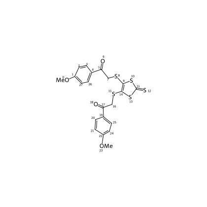 COc1ccc(C(=O)CSc2sc(=S)sc2SCC(=O)c2ccc(OC)cc2)cc1